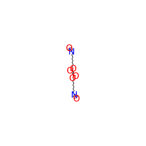 O=C(/C=C/C(=O)OCCCCCCCCN1CCOCC1)OCCCCCCCCN1CCOCC1